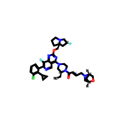 N#CC[C@H]1CN(c2nc(OC[C@@]34CCCN3C[C@H](F)C4)nc3c(F)c(-c4cccc(Cl)c4C4CC4)ncc23)CCN1C(=O)/C=C/CN1C[C@H]2C[C@@H]1CO2